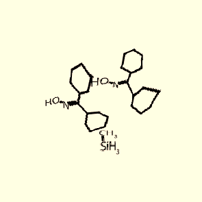 C[SiH3].ON=C(C1CCCCC1)C1CCCCC1.ON=C(C1CCCCC1)C1CCCCC1